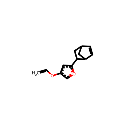 C=COc1coc(C2CC3C=CC2C3)c1